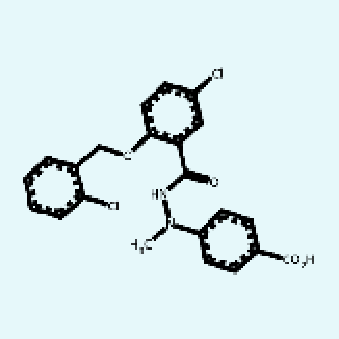 CN(NC(=O)c1cc(Cl)ccc1OCc1ccccc1Cl)c1ccc(C(=O)O)cc1